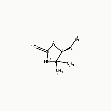 CC(C)C[C@@H]1OC(=O)NC1(C)C